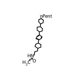 C=CC(=O)NCCCC1CCC(c2ccc(C3CCC(C4CCC(CCCCC)CC4)CC3)cc2)CC1